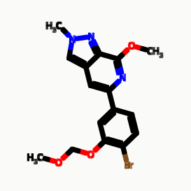 COCOc1cc(-c2cc3cn(C)nc3c(OC)n2)ccc1Br